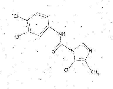 Cc1ncn(C(=O)Nc2ccc(Cl)c(Cl)c2)c1Cl